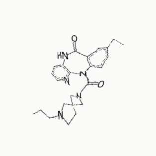 CCCN1CCC2(C1)CN(C(=O)N1c3ccc(CC)cc3C(=O)Nc3cccnc31)C2